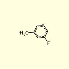 [CH2]c1cncc(F)c1